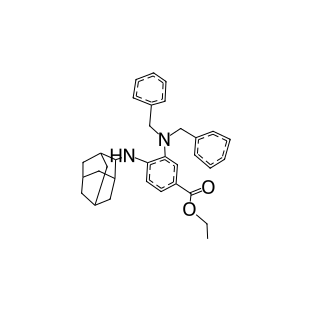 CCOC(=O)c1ccc(NC2C3CC4CC(C3)CC2C4)c(N(Cc2ccccc2)Cc2ccccc2)c1